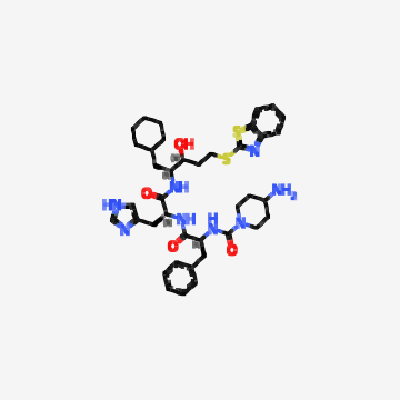 NC1CCN(C(=O)N[C@@H](Cc2ccccc2)C(=O)N[C@@H](Cc2c[nH]cn2)C(=O)N[C@@H](CC2CCCCC2)[C@@H](O)CCSc2nc3ccccc3s2)CC1